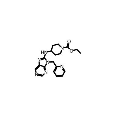 CCOC(=O)N1CCC(Nc2nc3cncnc3n2Cc2ccccn2)CC1